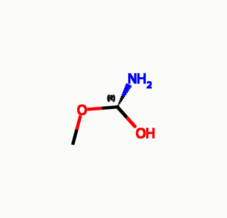 CO[C@H](N)O